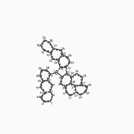 c1ccc2cc3c(B4c5cc6ccc7cccc8ccc(c5-c5ccc9cc%10ccccc%10cc9c54)c6c78)cccc3cc2c1